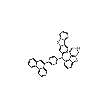 C1=Cc2c(oc3cccc(N(c4ccc(-c5cc6ccccc6c6ccccc56)cc4)c4cc5oc6ccccc6c5cn4)c23)CN1